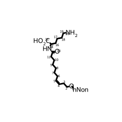 CCCCCCCCCOCC/C=C\CCCCCCC(=O)NC(CCCCN)C(=O)O